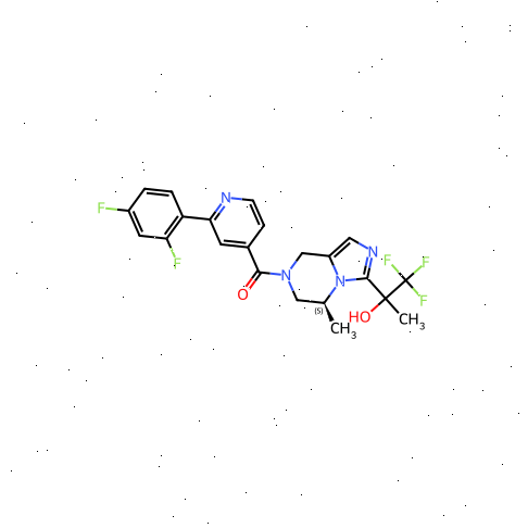 C[C@H]1CN(C(=O)c2ccnc(-c3ccc(F)cc3F)c2)Cc2cnc(C(C)(O)C(F)(F)F)n21